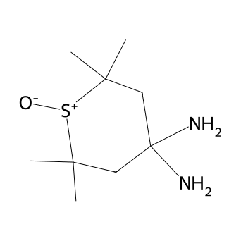 CC1(C)CC(N)(N)CC(C)(C)[S+]1[O-]